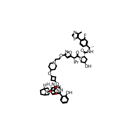 Cc1ncsc1-c1ccc([C@H](C)NC(=O)[C@@H]2C[C@@H](O)CN2C(=O)[C@@H](c2cc(OCCN3CCC(OC4CC(Oc5cc(N6C7CC[C@@H]6CN(c6cc(-c8ccccc8O)nnc6N)C7)ccn5)C4)CC3)no2)C(C)C)cc1F